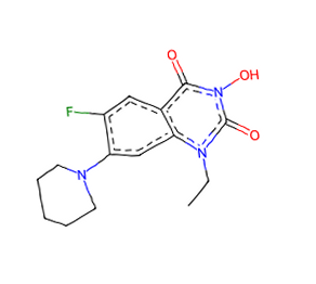 CCn1c(=O)n(O)c(=O)c2cc(F)c(N3CCCCC3)cc21